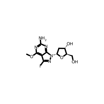 COc1nc(N)nc2c1c(I)nn2[C@@H]1C[C@H](O)[C@@H](CO)O1